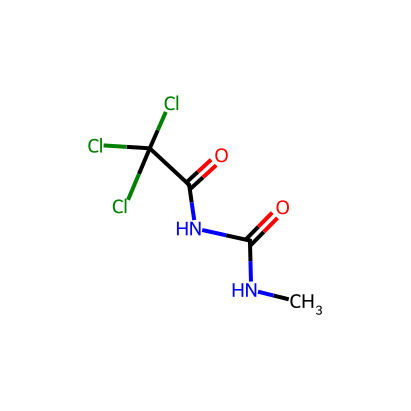 CNC(=O)NC(=O)C(Cl)(Cl)Cl